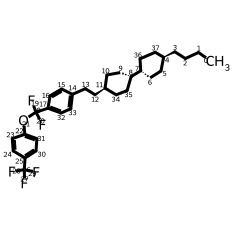 CCCC[C@H]1CC[C@H]([C@H]2CC[C@H](CCc3ccc(C(F)(F)Oc4ccc(C(F)(F)F)cc4)cc3)CC2)CC1